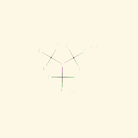 Cl.Cl.FC(F)(F)P(C(F)(F)F)C(F)(F)F